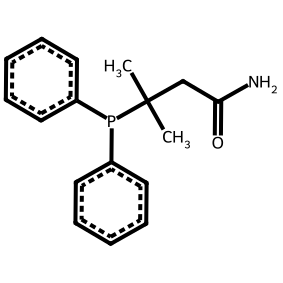 CC(C)(CC(N)=O)P(c1ccccc1)c1ccccc1